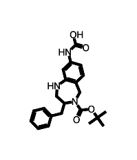 CC(C)(C)OC(=O)N1Cc2ccc(NC(=O)O)cc2NCC1Cc1ccccc1